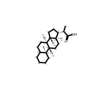 CC(C(=O)O)[C@H]1CC[C@H]2[C@@H]3CCC4CCCC[C@]4(C)[C@H]3CC[C@]12C